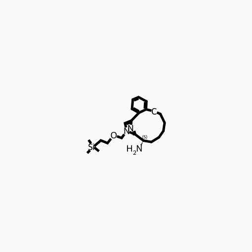 C[Si](C)(C)CCOCn1cc2nc1[C@@H](N)CCCCCCc1ccccc1-2